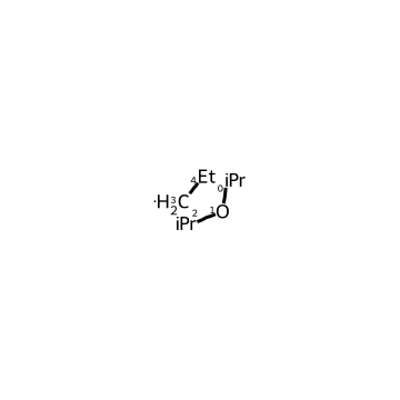 CC(C)OC(C)C.[CH2]CC